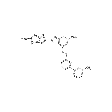 COc1cc(OCc2cccc(-c3cccc(C)c3)c2)c2cc(-c3cn4nc(OC)sc4n3)oc2c1